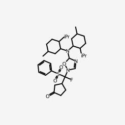 CC1CCC(C(C)C)C(N(C2N=CN(C(F)(C3CCC(=O)C3)S(=O)(=O)c3ccccc3)O2)C2CC(C)CCC2C(C)C)C1